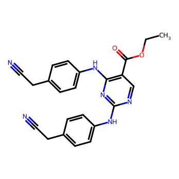 CCOC(=O)c1cnc(Nc2ccc(CC#N)cc2)nc1Nc1ccc(CC#N)cc1